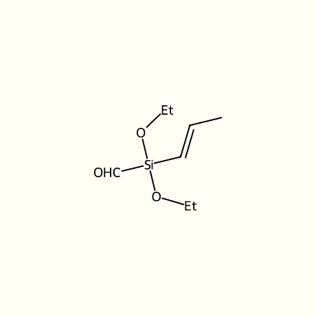 CC=C[Si](C=O)(OCC)OCC